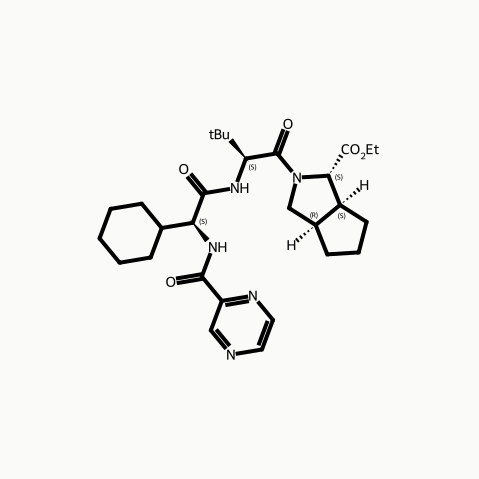 CCOC(=O)[C@@H]1[C@H]2CCC[C@H]2CN1C(=O)[C@@H](NC(=O)[C@@H](NC(=O)c1cnccn1)C1CCCCC1)C(C)(C)C